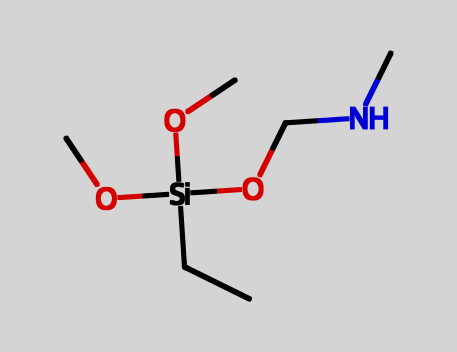 CC[Si](OC)(OC)OCNC